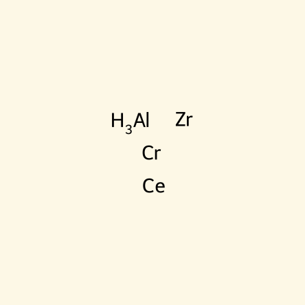 [AlH3].[Ce].[Cr].[Zr]